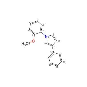 COc1ccccc1-n1ccc(-c2ccccc2)c1